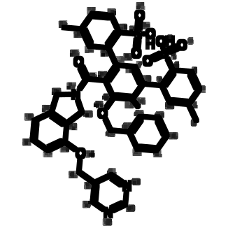 Cc1ccc(S(=O)(=O)O)c(-c2cc(-c3cc(C)ccc3S(=O)(=O)O)c(C(=O)N3Cc4cccc(OCc5cncnc5)c4C3)c(OCc3ccccc3)c2C)c1